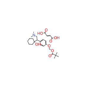 CN(C)CC(c1ccc(OCOC(=O)C(C)(C)C)cc1)C1(O)CCCCC1.O=C(O)C=CC(=O)O